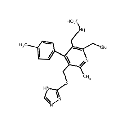 Cc1ccc(-c2c(CSc3nnc[nH]3)c(C)nc(CC(C)(C)C)c2CNC(=O)O)cc1